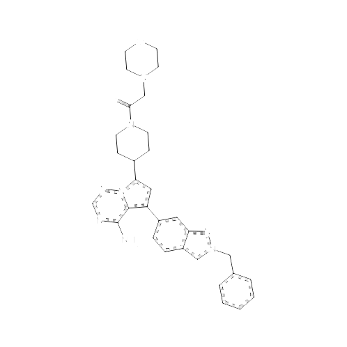 Nc1ncnn2c(C3CCN(C(=O)CN4CCOCC4)CC3)cc(-c3ccc4cn(Cc5ccccc5)nc4c3)c12